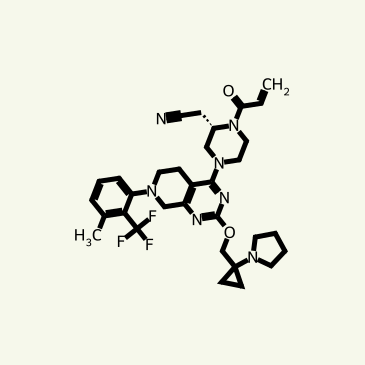 C=CC(=O)N1CCN(c2nc(OCC3(N4CCCC4)CC3)nc3c2CCN(c2cccc(C)c2C(F)(F)F)C3)C[C@@H]1CC#N